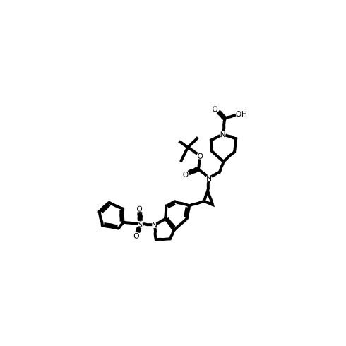 CC(C)(C)OC(=O)N(CC1CCN(C(=O)O)CC1)C1CC1c1ccc2c(c1)CCN2S(=O)(=O)c1ccccc1